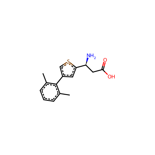 Cc1cccc(C)c1-c1csc([C@@H](N)CC(=O)O)c1